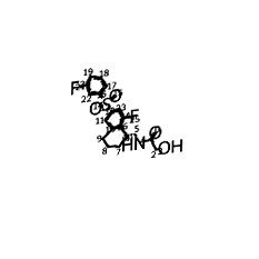 O=C(CO)NC[C@@H]1CCCc2cc(S(=O)(=O)c3cccc(F)c3)cc(F)c21